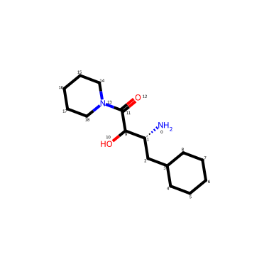 N[C@H](CC1CCCCC1)C(O)C(=O)N1CCCCC1